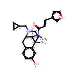 CN(C(=O)/C=C/c1ccoc1)[C@@H]1C2Cc3ccc(O)cc3[C@@]1(C)CCN2CC1CC1